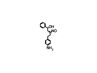 Nc1ccc(CCN(C[C@H](O)c2ccccc2)N=O)cc1